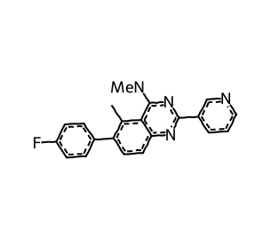 CNc1nc(-c2cccnc2)nc2ccc(-c3ccc(F)cc3)c(C)c12